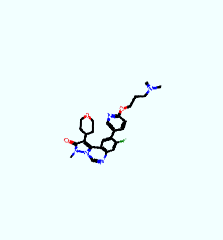 CN(C)CCCOc1ccc(-c2cc3c(cc2F)ncn2c3c(C3CCOCC3)c(=O)n2C)cn1